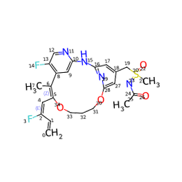 C=C/C(F)=C\C1=C(/C)c2cc(ncc2F)Nc2cc(CS(C)(=O)=NC(C)=O)cc(n2)OCCCO1